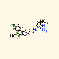 Nc1nc(NCCCCn2cc(C(=O)O)c(-c3ccc(Cl)cc3Cl)c2)ccc1[N+](=O)[O-]